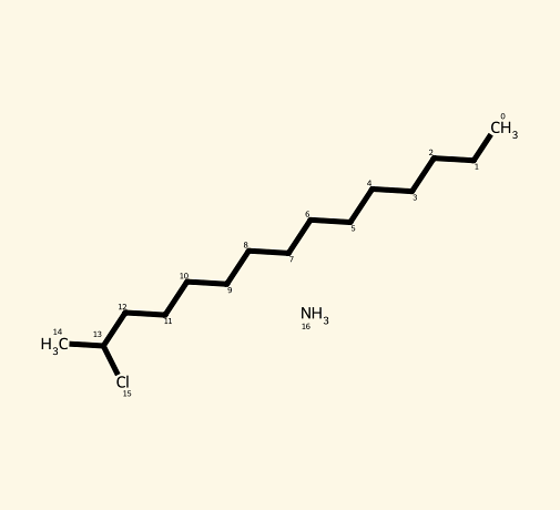 CCCCCCCCCCCCCC(C)Cl.N